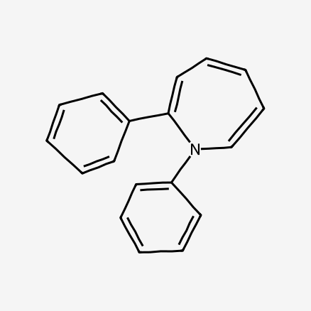 C1=CC=C(c2ccccc2)N(c2ccccc2)C=C1